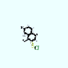 Cc1c(SCl)ccc2ccccc12